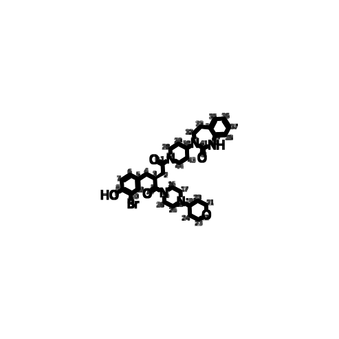 O=C(C[C@H](Cc1ccc(O)c(Br)c1)C(=O)N1CCN(C2CCOCC2)CC1)N1CCC(N2CCc3ccccc3NC2=O)CC1